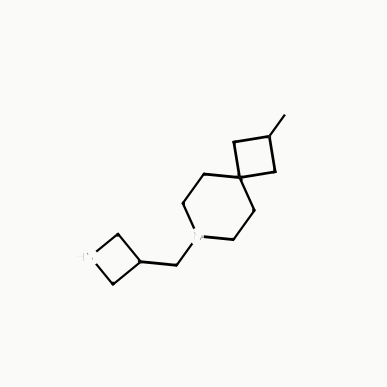 CC1CC2(CCN(CC3CNC3)CC2)C1